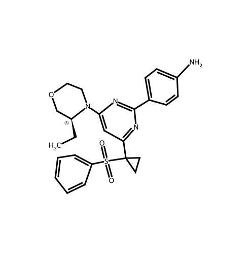 CC[C@H]1COCCN1c1cc(C2(S(=O)(=O)c3ccccc3)CC2)nc(-c2ccc(N)cc2)n1